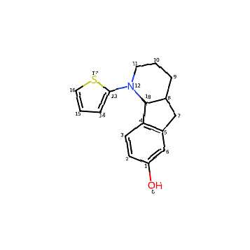 Oc1ccc2c(c1)CC1CCCN(c3cccs3)C21